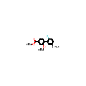 CCCCOC(=O)c1ccc(-c2cc(OC)ccc2F)c(OCCCC)c1